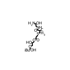 CCC(C)C(O)OCC(O)COC(=O)CCSCC(C)C(=O)NCC(N)O